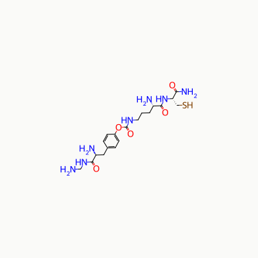 NCNC(=O)[C@@H](N)Cc1ccc(OC(=O)NCCC[C@H](N)C(=O)N[C@@H](CS)C(N)=O)cc1